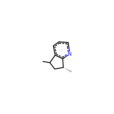 CC1C[C@@H](C)c2ncccc21